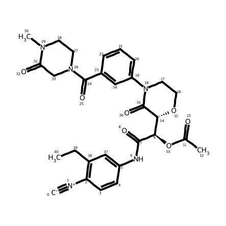 [C-]#[N+]c1ccc(NC(=O)[C@H](OC(C)=O)[C@H]2OCCN(c3cccc(C(=O)N4CCN(C)C(=O)C4)c3)C2=O)cc1CC